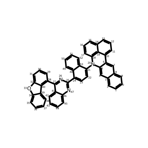 c1ccc2cc3c(cc2c1)-c1cccc2cccc(c12)N3c1ccc(-c2nc(-c3cccc4oc5ccccc5c34)c3ccccc3n2)c2ccccc12